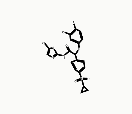 O=C(Nc1n[c]c(Cl)s1)C(Oc1ccc(F)c(Cl)c1)c1ccc(S(=O)(=O)C2CC2)cc1